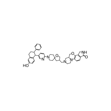 O=C1NCc2c1ccc1c2OCC2CN(CC3COC4(CCN(c5ccc(C6c7ccc(O)cc7CCC6c6ccccc6)cn5)CC4)C3)CCN12